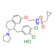 Cl.O=S(=O)(CC1CC1)NCCOc1ccc2c(c1)C(Cc1ccc(Cl)c(Cl)c1)C(N1CCCC1)CC2